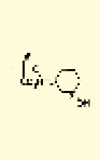 CCCC(C)(OC[C@@H]1CCC[C@H](O)C1)C(=O)O